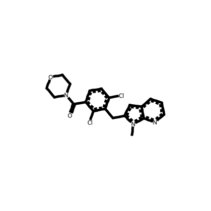 Cn1c(Cc2c(Cl)ccc(C(=O)N3CCOCC3)c2Cl)cc2cccnc21